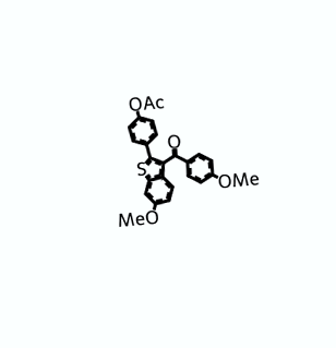 COc1ccc(C(=O)c2c(-c3ccc(OC(C)=O)cc3)sc3cc(OC)ccc23)cc1